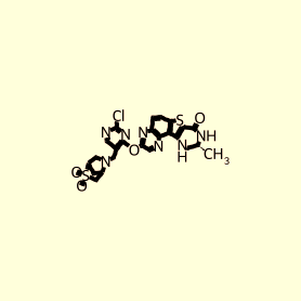 C[C@@H]1CNc2c(sc3ccc4nc(Oc5nc(Cl)ncc5CN5CC6CC5CS6(=O)=O)cnc4c23)C(=O)N1